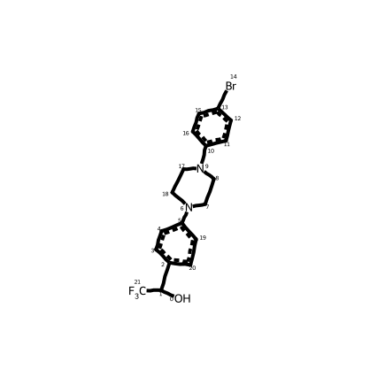 OC(c1ccc(N2CCN(c3ccc(Br)cc3)CC2)cc1)C(F)(F)F